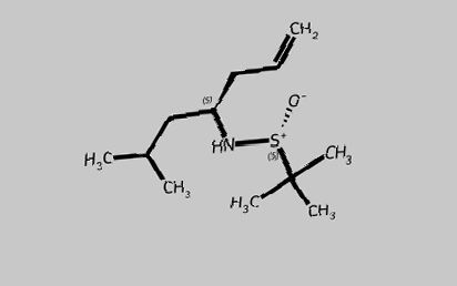 C=CC[C@H](CC(C)C)N[S@+]([O-])C(C)(C)C